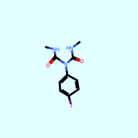 CNC(=O)N(C(=O)NC)c1ccc(I)cc1